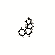 c1ccc2c(c1)ccc1[nH]c3cscc3c12